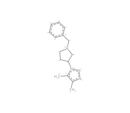 Cc1nnn(C2CCN(Cc3ccccc3)C2)c1C